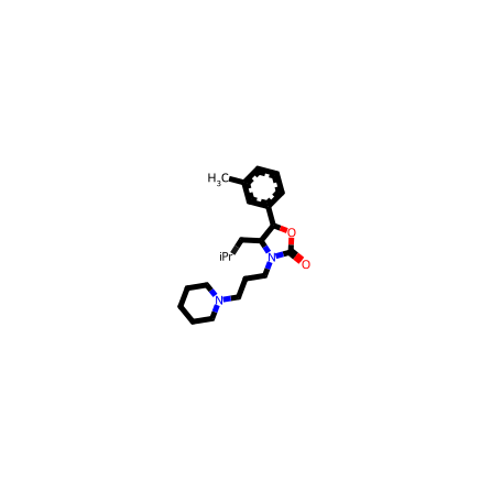 Cc1cccc(C2OC(=O)N(CCCN3CCCCC3)C2CC(C)C)c1